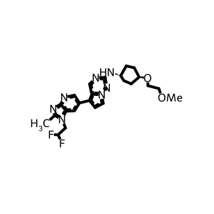 COCCO[C@H]1CC[C@H](Nc2ncc3c(-c4cnc5nc(C)n(CC(F)F)c5c4)ccn3n2)CC1